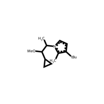 COC(C1CC1)C(C)n1ccc(C(C)(C)C)c1C